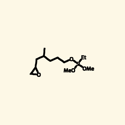 CC[Si](OC)(OC)OCCCC(C)CC1CO1